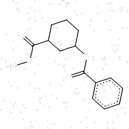 CCCCOC(=O)C1CCCC(OC(=O)c2ccccc2)C1